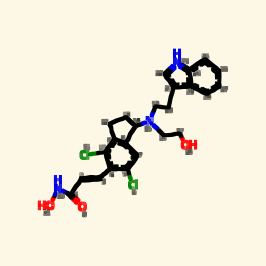 O=C(C=Cc1c(Cl)cc2c(c1Cl)CCC2N(CCO)CCc1c[nH]c2ccccc12)NO